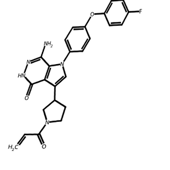 C=CC(=O)N1CCC(c2cn(-c3ccc(Oc4ccc(F)cc4)cc3)c3c(N)n[nH]c(=O)c23)C1